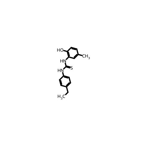 CCc1ccc(NC(=S)Nc2cc(C)ccc2O)cc1